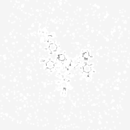 O=C(O)Nc1ccc(-c2c[nH]c(C3C(c4ccc(F)cc4)CC(C4CCNCC4)CN3C(=O)C=Cc3cc(Cl)ccc3-n3cnnn3)n2)cc1